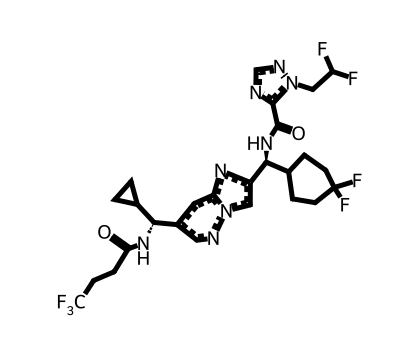 O=C(CCC(F)(F)F)N[C@@H](c1cnn2cc([C@@H](NC(=O)c3ncnn3CC(F)F)C3CCC(F)(F)CC3)nc2c1)C1CC1